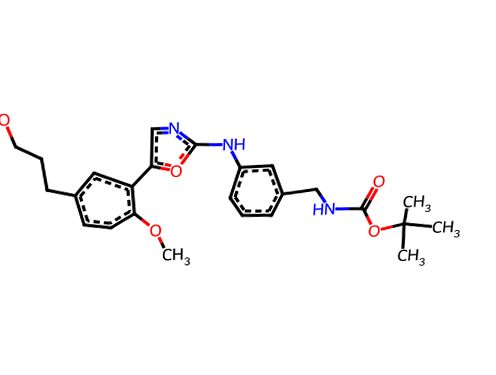 COc1ccc(CCCO)cc1-c1cnc(Nc2cccc(CNC(=O)OC(C)(C)C)c2)o1